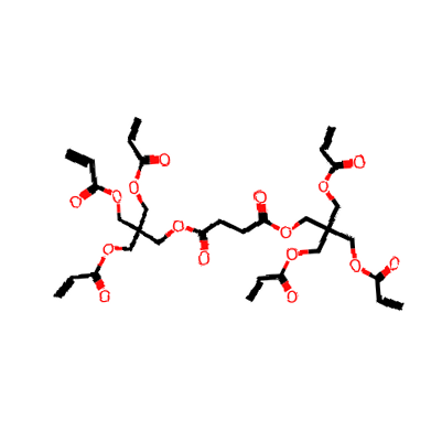 C=CC(=O)OCC(COC(=O)C=C)(COC(=O)C=C)COC(=O)CCC(=O)OCC(COC(=O)C=C)(COC(=O)C=C)COC(=O)C=C